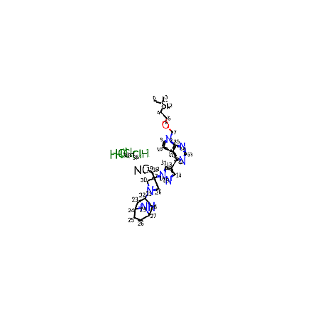 C[Si](C)(C)CCOCn1ccc2c(-c3cnn(C4(CC#N)CN(C5CC6CCC(C5)N6)C4)c3)ncnc21.Cl.Cl.Cl